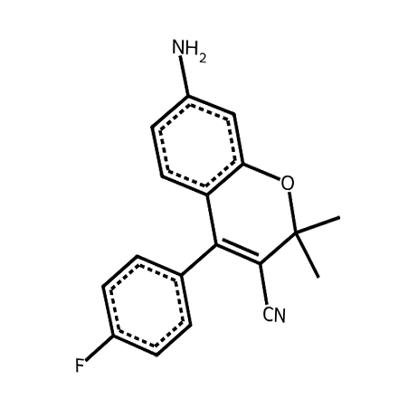 CC1(C)Oc2cc(N)ccc2C(c2ccc(F)cc2)=C1C#N